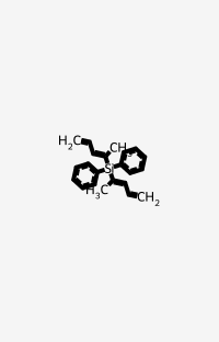 C=C/C=C(\C)[Si](/C(C)=C/C=C)(c1ccccc1)c1ccccc1